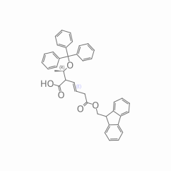 C[C@@H](OC(c1ccccc1)(c1ccccc1)c1ccccc1)C(/C=C/CC(=O)OCC1c2ccccc2-c2ccccc21)C(=O)O